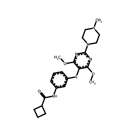 COc1nc(N2CCN(C)CC2)nc(OC)c1Sc1cccc(NC(=O)C2CCC2)c1